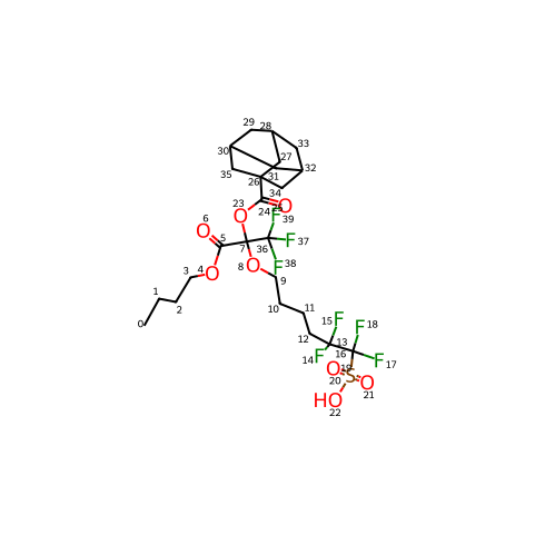 CCCCOC(=O)C(OCCCCC(F)(F)C(F)(F)S(=O)(=O)O)(OC(=O)C12CC3CC(CC(C3)C1)C2)C(F)(F)F